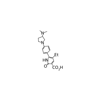 CCc1cc(C(=O)O)c(=O)[nH]c1-c1ccc(N2CCC(N(C)C)C2)cc1